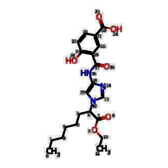 CCCCCCC(C(=O)OCC)n1cnc(NC(=O)c2cc(C(=O)O)ccc2O)c1